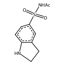 CC(=O)NS(=O)(=O)c1ccc2c(c1)CCN2